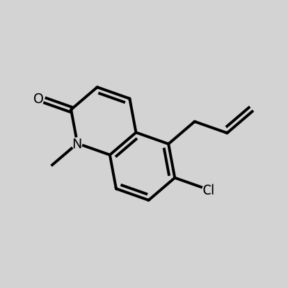 C=CCc1c(Cl)ccc2c1ccc(=O)n2C